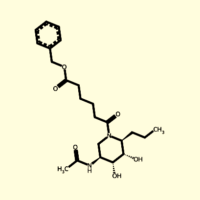 CCC[C@H]1[C@H](O)[C@H](O)[C@@H](NC(C)=O)CN1C(=O)CCCCC(=O)OCc1ccccc1